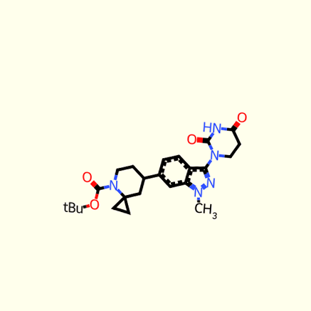 Cn1nc(N2CCC(=O)NC2=O)c2ccc(C3CCN(C(=O)OC(C)(C)C)C4(CC4)C3)cc21